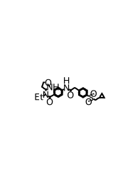 CCN(C(=O)c1ccc(NC(=O)Cc2ccc(S(=O)(=O)CC3CC3)cc2)cc1)C1CCON1